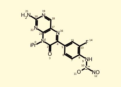 CC(C)n1c(=O)c(-c2ccc(N[S+]([O-])N=O)c(F)c2)nc2cnc(N)nc21